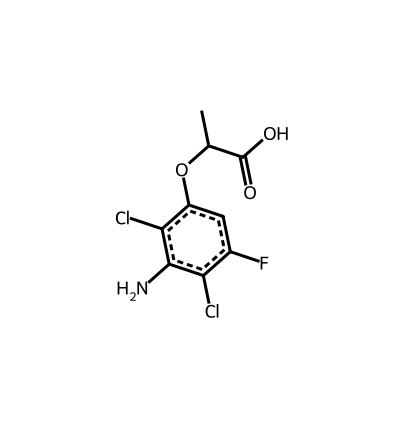 CC(Oc1cc(F)c(Cl)c(N)c1Cl)C(=O)O